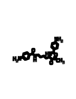 COC(=O)C(CCCCNC(=O)c1ccc(N)cc1)NC(=O)c1ccc(N)cc1